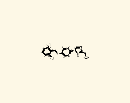 OCc1ncn(-c2ncc(OCc3c(Cl)cccc3Cl)cn2)n1